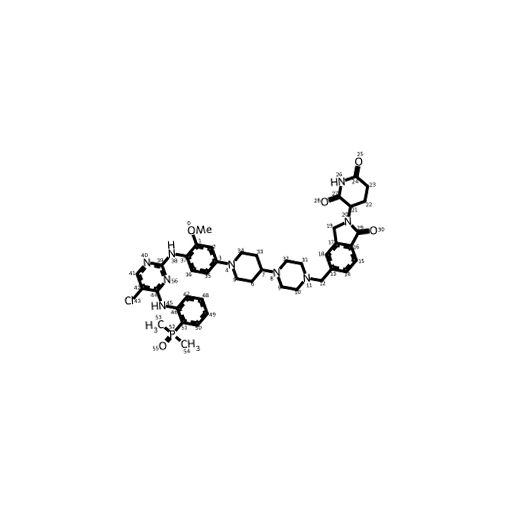 COc1cc(N2CCC(N3CCN(Cc4ccc5c(c4)CN(C4CCC(=O)NC4=O)C5=O)CC3)CC2)ccc1Nc1ncc(Cl)c(Nc2ccccc2P(C)(C)=O)n1